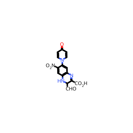 O=CC1Nc2cc([N+](=O)[O-])c(-n3ccc(=O)cc3)cc2N=C1C(=O)O